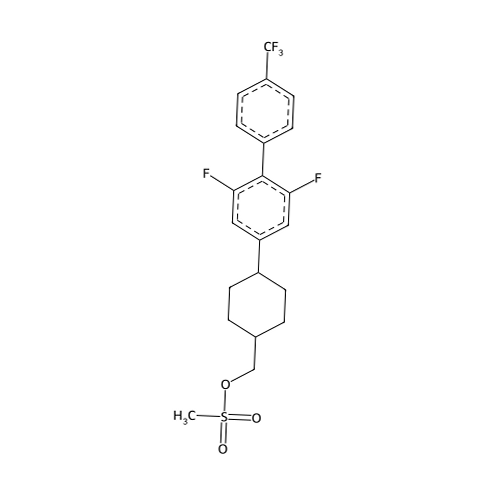 CS(=O)(=O)OCC1CCC(c2cc(F)c(-c3ccc(C(F)(F)F)cc3)c(F)c2)CC1